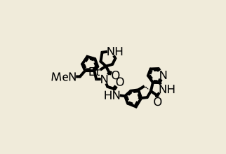 CCC1(C(=O)N(CC(=O)Nc2ccc3c(c2)C[C@@]2(C3)C(=O)Nc3ncccc32)Cc2ccccc2CNC)CCNCC1